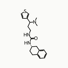 CN(C)C(CCNC(=O)N[C@H]1CCc2ccccc2C1)c1ccsc1